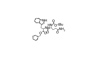 CC(C)(C)OC(=O)NC(CCC(N)=O)C(=O)NC(Cc1c[nH]c2ccccc12)C(=O)OCc1ccccc1